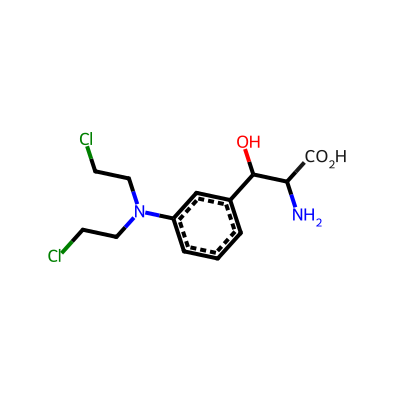 NC(C(=O)O)C(O)c1cccc(N(CCCl)CCCl)c1